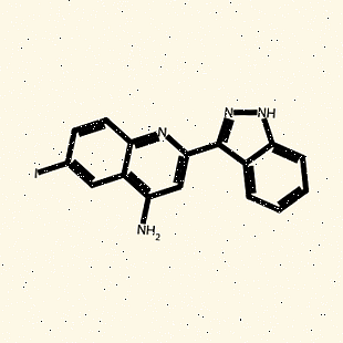 Nc1cc(-c2n[nH]c3ccccc23)nc2ccc(I)cc12